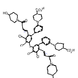 O=C(O)C1CCN(c2cccc(-c3cc(Sc4cc(-c5cccc(N6CCC(C(=O)O)CC6)c5)c(/C=C/C(=O)N5CCC(O)CC5)c(Cl)c4Cl)c(Cl)c(Cl)c3/C=C/C(=O)N3CCC(O)CC3)c2)CC1